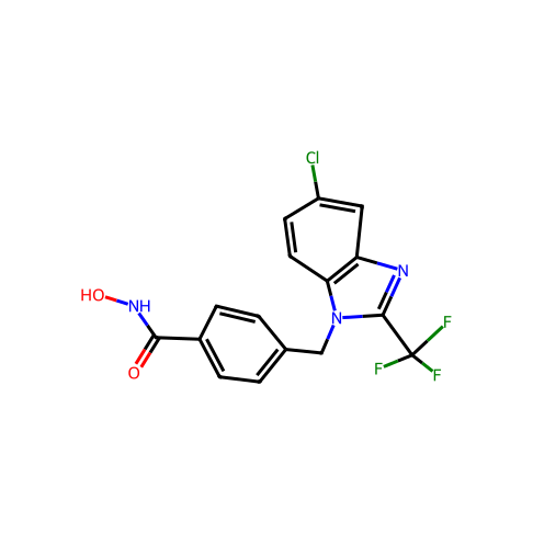 O=C(NO)c1ccc(Cn2c(C(F)(F)F)nc3cc(Cl)ccc32)cc1